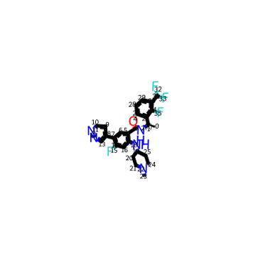 C[C@@H](NC(=O)c1cc(-c2ccnnc2)c(F)cc1NC1CCN(C)CC1)c1cccc(C(F)F)c1F